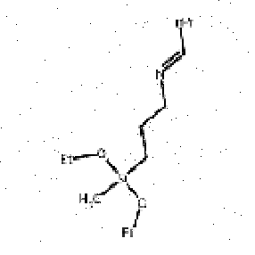 CCCC=NCCC[Si](C)(OCC)OCC